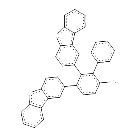 N#Cc1ccc(-c2ccc3oc4ccccc4c3c2)c(-c2ccc3sc4ccccc4c3c2)c1-c1ccccc1